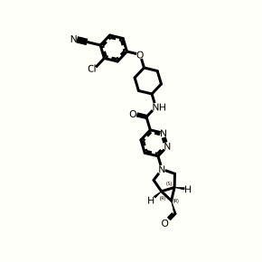 N#Cc1ccc(OC2CCC(NC(=O)c3ccc(N4C[C@@H]5[C@@H](C=O)[C@@H]5C4)nn3)CC2)cc1Cl